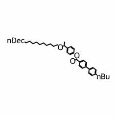 CCCCCCCCCCCCCCCCCCCCOC(C)c1ccc(OC(=O)c2ccc(-c3ccc(CCCC)cc3)cc2)cc1